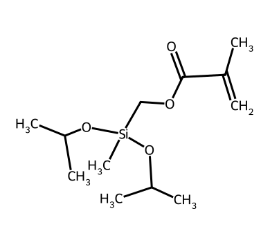 C=C(C)C(=O)OC[Si](C)(OC(C)C)OC(C)C